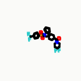 O=C(C1CCC2(CC1)CN(S(=O)(=O)c1ccc(C(F)F)cc1)c1ccccc12)N1CCC(F)(F)CC1